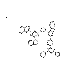 c1ccc(-c2nc(-c3ccccc3)nc(-c3ccc(-c4cc(-c5cccc(-c6nc(-c7ccc8ccccc8c7)nc(-c7cccc8ccccc78)n6)c5)c5c(c4)oc4ccccc45)cc3)n2)cc1